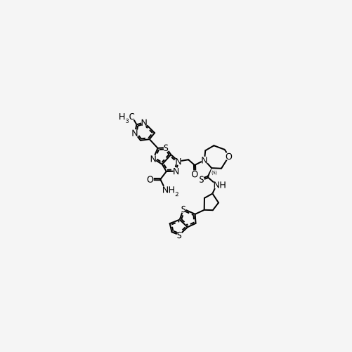 Cc1ncc(-c2nc3c(C(N)=O)nn(CC(=O)N4CCCOC[C@H]4C(=S)NC4CCC(c5cc6sccc6s5)C4)c3s2)cn1